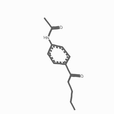 CCCCC(=O)c1ccc(NC(C)=O)cc1